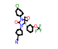 N#Cc1ccc(N2C(=O)N(c3ccc(Cl)cc3)C3(COC3)[C@@H]2c2cccc(OC(F)(F)F)c2)cc1